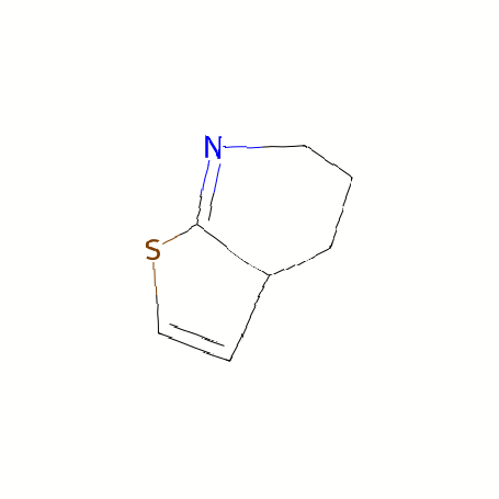 C1=CC2CCCN=C2S1